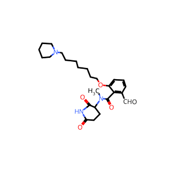 CN(C(=O)c1c(C=O)cccc1OCCCCCCCN1CCCCC1)C1CCC(=O)NC1=O